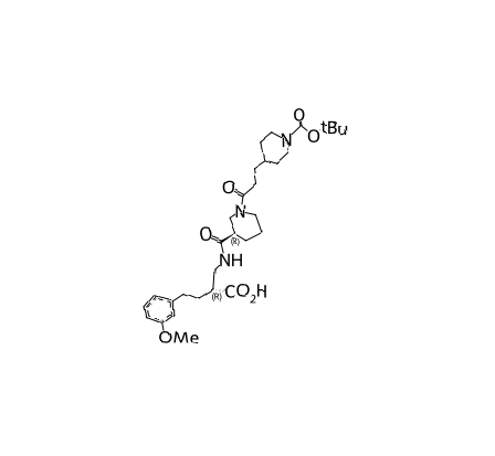 COc1cccc(CC[C@H](CNC(=O)[C@@H]2CCCN(C(=O)CCC3CCN(C(=O)OC(C)(C)C)CC3)C2)C(=O)O)c1